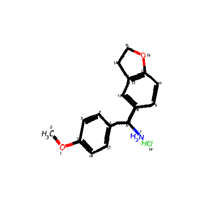 COc1ccc(C(N)c2ccc3c(c2)CCO3)cc1.Cl